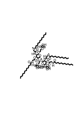 CCCCCCCCCCCC(=O)NCC(=O)O[C@@H]1[C@H](NC(=O)CN(C)C(=O)CCCCCCCCCCC)[C@@H](OCCOP(=O)(O)O)O[C@H](CO[C@@H]2O[C@H](CO)[C@@H](OP(=O)(O)O)[C@H](OC(=O)CNC(=O)CCCCCCCCCCC)[C@@H]2NC(=O)CN(C)C(=O)CCCCCCCCCCC)[C@H]1OCCOP(=O)(O)O